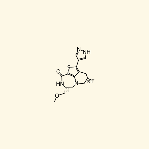 COC[C@H]1CN2C[C@H](F)Cc3c(-c4cn[nH]c4)sc(c32)C(=O)N1